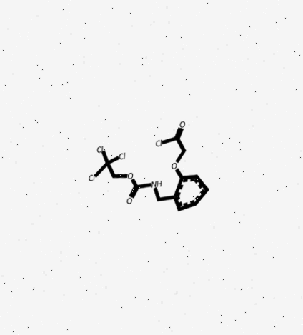 O=C(Cl)COc1ccccc1CNC(=O)OCC(Cl)(Cl)Cl